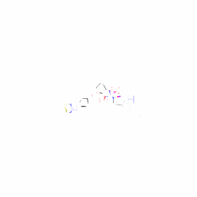 C=C1CCC(N2C(=O)c3cccc(OCc4ccc(CN5CCSCC5)cc4)c3C2=O)C(=O)N1